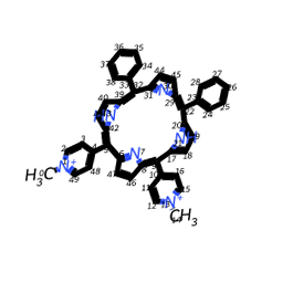 C[n+]1ccc(-c2c3nc(c(-c4cc[n+](C)cc4)c4ccc([nH]4)c(-c4ccccc4)c4nc(c(-c5ccccc5)c5ccc2[nH]5)C=C4)C=C3)cc1